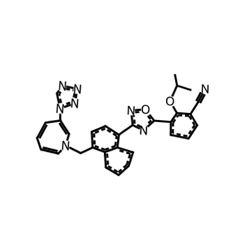 CC(C)Oc1c(C#N)cccc1-c1nc(-c2ccc(CN3C=CC=CC(n4cnnn4)=C3)c3ccccc23)no1